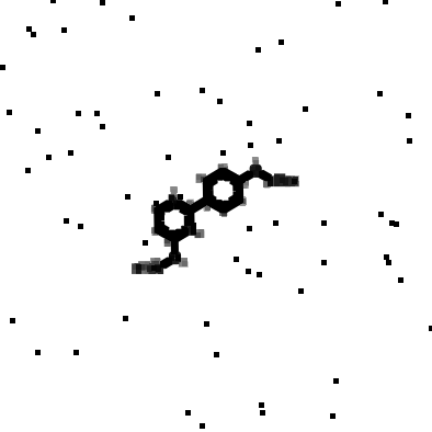 CCCCCCOc1ccc(-c2nccc(OCCCCCC)n2)cc1